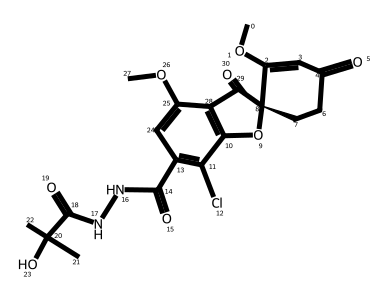 COC1=CC(=O)CC[C@]12Oc1c(Cl)c(C(=O)NNC(=O)C(C)(C)O)cc(OC)c1C2=O